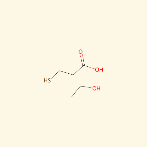 O=C(O)CCS.[CH2]CO